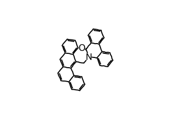 O=c1c2ccccc2c2ccccc2n1Cc1c2ccccc2cc2ccc3ccccc3c12